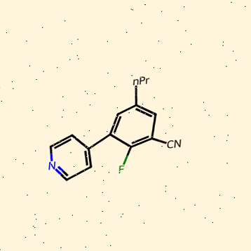 CCCc1cc(C#N)c(F)c(-c2ccncc2)c1